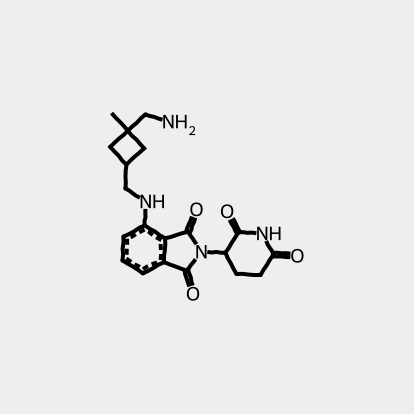 CC1(CN)CC(CNc2cccc3c2C(=O)N(C2CCC(=O)NC2=O)C3=O)C1